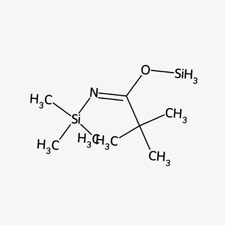 CC(C)(C)/C(=N\[Si](C)(C)C)O[SiH3]